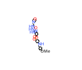 COc1ccc(CNc2ccc(S(=O)(=O)Oc3ccc4nc(NC(=O)NCCN5CCOCC5)[nH]c4c3)cc2)cc1